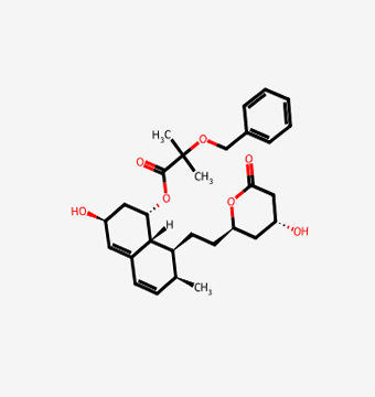 C[C@H]1C=CC2=C[C@@H](O)C[C@H](OC(=O)C(C)(C)OCc3ccccc3)[C@@H]2[C@H]1CC[C@@H]1C[C@@H](O)CC(=O)O1